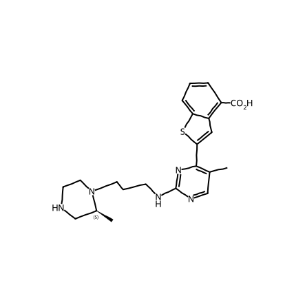 Cc1cnc(NCCCN2CCNC[C@@H]2C)nc1-c1cc2c(C(=O)O)cccc2s1